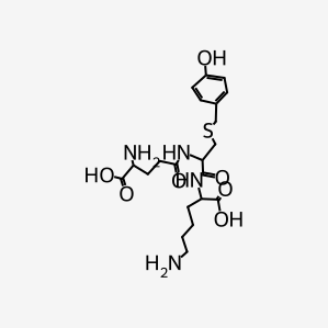 NCCCCC(NC(=O)C(CSCc1ccc(O)cc1)NC(=O)CCC(N)C(=O)O)C(=O)O